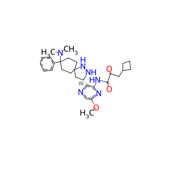 COc1cnc([C@@H]2CC3(CCC(c4ccccc4)(N(C)C)CC3)NN2)c(NC(=O)C(=O)CC2CCC2)n1